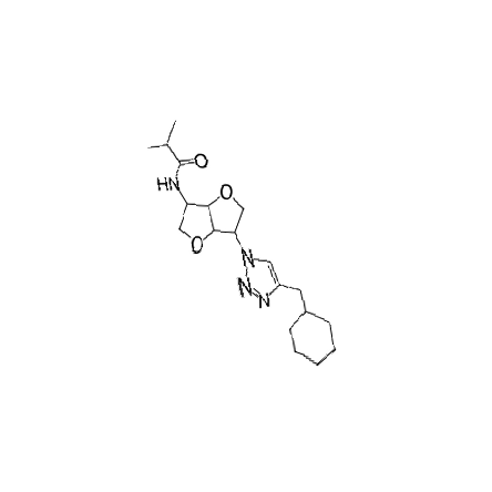 CC(C)C(=O)NC1COC2C1OCC2n1cc(CC2CCCCC2)nn1